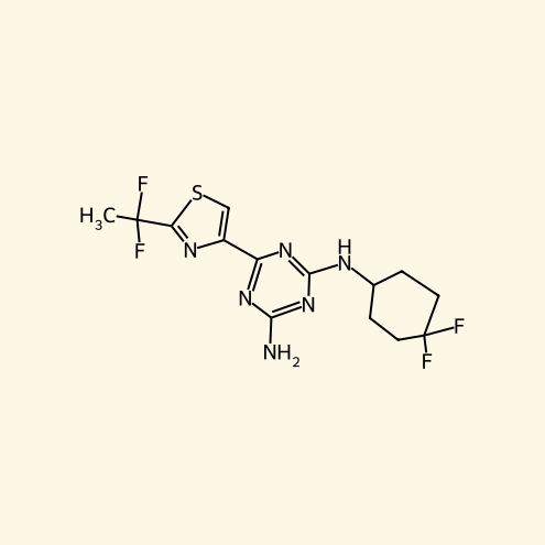 CC(F)(F)c1nc(-c2nc(N)nc(NC3CCC(F)(F)CC3)n2)cs1